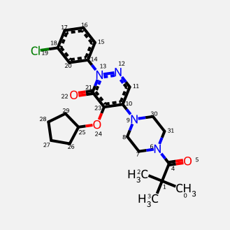 CC(C)(C)C(=O)N1CCN(c2cnn(-c3cccc(Cl)c3)c(=O)c2OC2CCCC2)CC1